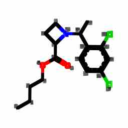 CCCCOC(=O)C1CCN1C(C)c1ccc(Cl)cc1Cl